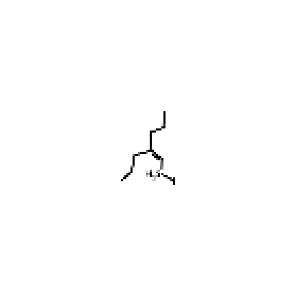 CCCC(=C[SiH2]I)CCC